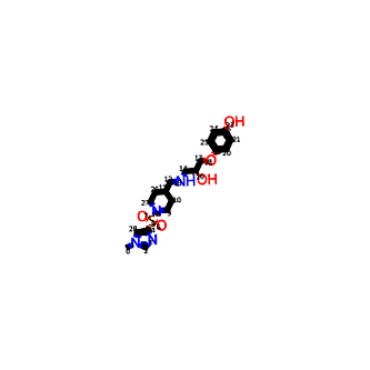 Cn1cnc(S(=O)(=O)N2CCC(CNC[C@@H](O)COc3ccc(O)cc3)CC2)c1